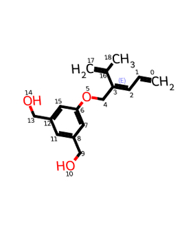 C=C/C=C(/COc1cc(CO)cc(CO)c1)C(=C)C